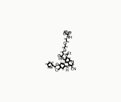 CCOc1cc2ncc(C#N)c(Nc3ccc(OCc4ccccn4)c(Cl)c3)c2cc1NC(=O)CCOCCOCCNC(=O)OC(C)(C)C